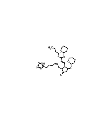 CCCCCC(C=CC1C(OC2CCCCO2)CC(=O)C1C/C=C\CCCc1nnn[nH]1)OC1CCCCO1